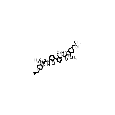 Cc1c(NC(=O)c2nc3c(n2C)CCN(C[C@H](C)O)C3)cccc1-c1cccc(NC(=O)c2nc3c(n2C)CCN(CC2CC2)C3)c1Cl